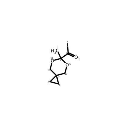 CC1(C(=O)I)OCC2(CC2)CO1